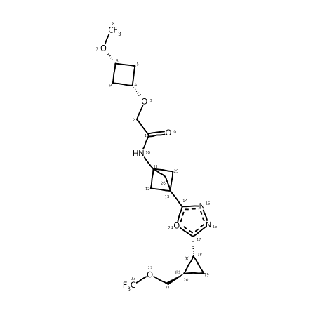 O=C(CO[C@H]1C[C@@H](OC(F)(F)F)C1)NC12CC(c3nnc([C@@H]4C[C@H]4COC(F)(F)F)o3)(C1)C2